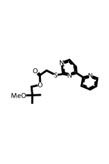 COC(C)(C)COC(=O)CSc1nccc(-c2ccccn2)n1